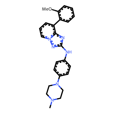 COc1ccccc1-c1cccn2nc(Nc3ccc(N4CCN(C)CC4)cc3)nc12